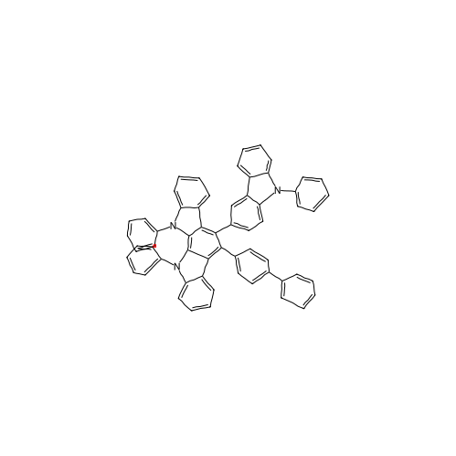 c1ccc(-c2ccc(-c3c(-c4ccc5c(c4)c4ccccc4n5-c4ccccc4)c4c5ccccc5n(-c5ccccc5)c4c4c3c3ccccc3n4-c3ccccc3)cc2)cc1